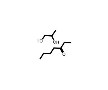 CC(O)CO.CCCCC(=O)CC